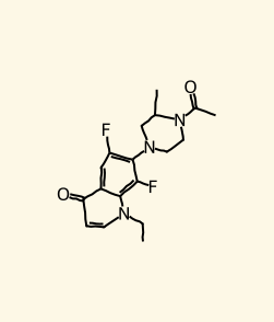 CCn1ccc(=O)c2cc(F)c(N3CCN(C(C)=O)C(C)C3)c(F)c21